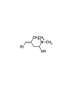 CCC=C(C)CC(CCC)N(C)C